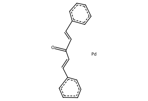 O=C(C=Cc1ccccc1)C=Cc1ccccc1.[Pd]